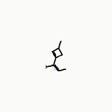 C/C=C(/I)C1=CC(C)C1